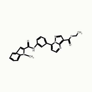 CCOC(=O)c1cnn2c(-c3cccc(NC(=O)c4cc5ccccc5n4C)c3)ccnc12